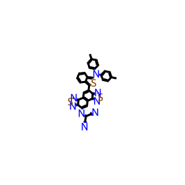 Cc1ccc(N(c2ccc(C)cc2)c2sc(-c3cc4c(cc(N=C(C#N)C#N)c5nsnc54)c4nsnc34)c3ccccc23)cc1